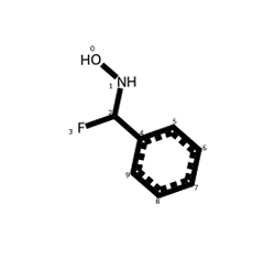 ONC(F)c1ccccc1